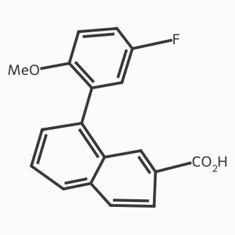 COc1ccc(F)cc1-c1cccc2ccc(C(=O)O)cc12